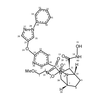 COCCOC(=O)N1[C@@H]2CC[C@H]1[C@H](C(=O)NO)N(S(=O)(=O)c1ccc(Oc3cnn(-c4ccccc4)c3)nc1)C2